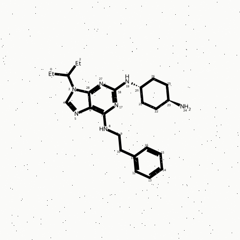 CCC(CC)n1cnc2c(NCCc3ccccc3)nc(N[C@H]3CC[C@H](N)CC3)nc21